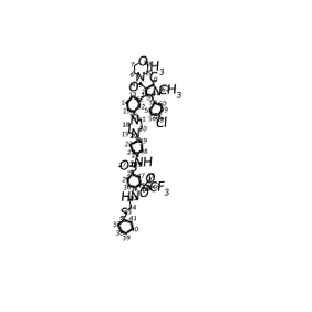 Cc1c(C(=O)N2CCOCC2)c(-c2cccc(N3CCN(c4ccc(N[S+]([O-])c5ccc(NCCSc6ccccc6)c(S(=O)(=O)C(F)(F)F)c5)cc4)CC3)c2)c(-c2ccc(Cl)cc2)n1C